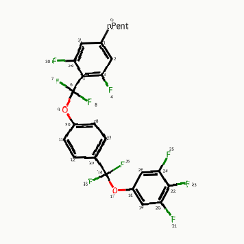 CCCCCc1cc(F)c(C(F)(F)Oc2ccc(C(F)(F)Oc3cc(F)c(F)c(F)c3)cc2)c(F)c1